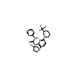 O=C(Nc1ccccn1)N1c2nc(N3CCCC(C(F)(F)F)C3)ccc2N2CC[C@H]1C2